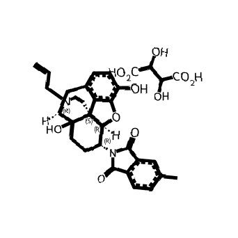 C=CCN1CC[C@]23c4c5ccc(O)c4O[C@H]2[C@H](N2C(=O)c4ccc(C)cc4C2=O)CCC3(O)[C@H]1C5.O=C(O)C(O)C(O)C(=O)O